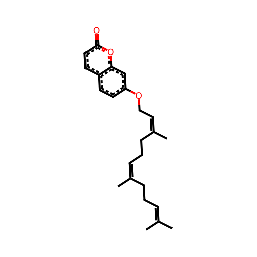 CC(C)=CCCC(C)=CCCC(C)=CCOc1ccc2ccc(=O)oc2c1